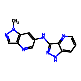 Cn1ncc2ncc(Nc3n[nH]c4cccnc34)cc21